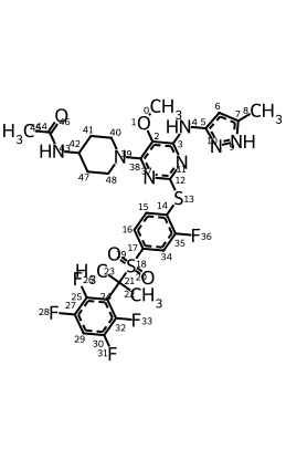 COc1c(Nc2cc(C)[nH]n2)nc(Sc2ccc(S(=O)(=O)C(C)(C)c3c(F)c(F)cc(F)c3F)cc2F)nc1N1CCC(NC(C)=O)CC1